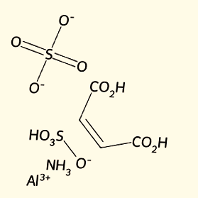 N.O=C(O)/C=C\C(=O)O.O=S(=O)([O-])O.O=S(=O)([O-])[O-].[Al+3]